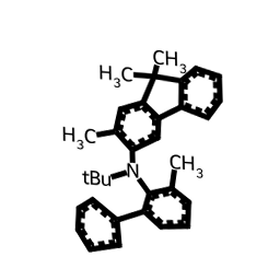 Cc1cc2c(cc1N(c1c(C)cccc1-c1ccccc1)C(C)(C)C)-c1ccccc1C2(C)C